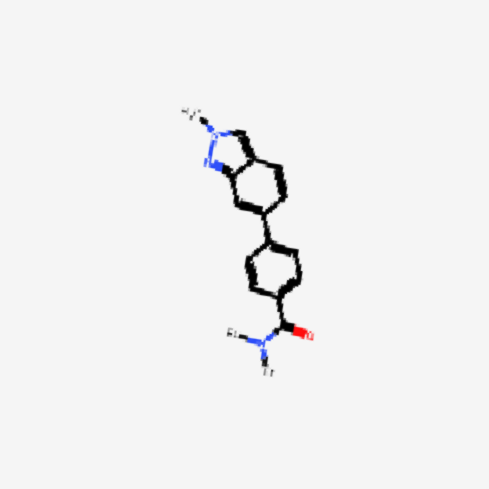 CCN(CC)C(=O)c1ccc(-c2ccc3cn(C)nc3c2)cc1